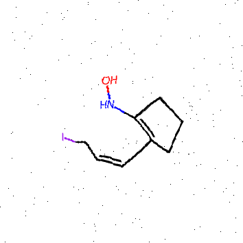 ONC1=C(/C=C\CI)CCC1